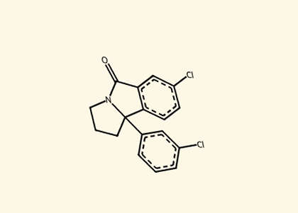 O=C1c2cc(Cl)ccc2C2(c3cccc(Cl)c3)CCCN12